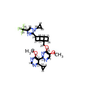 COc1cnc(-c2c(OC)ncnc2C2CC2)nc1OCC12C3C4C1C1C2C3C41c1nc(C(F)(F)F)cn1C1CC1